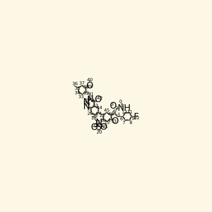 CNC(=O)c1c(-c2ccc(F)cc2)oc2cc(N(C)S(C)(=O)=O)c(-c3ccc4nnn(Cc5ccc(C)cc5OC)c(=O)c4c3)cc12